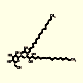 CCCCCCCCCCCCCCCCN(C(N)=O)[C@@H](CO[C@H]1O[C@H](CO)[C@H](O)[C@H](O)[C@H]1O)[C@H](O)[C@H](O)CCCCCCCCCCCCCC